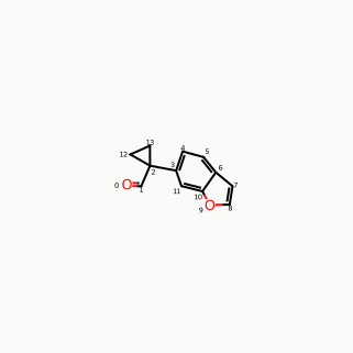 O=CC1(c2ccc3ccoc3c2)CC1